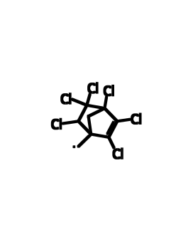 [CH2]C12CC(Cl)(C(Cl)=C1Cl)C(Cl)(Cl)C2Cl